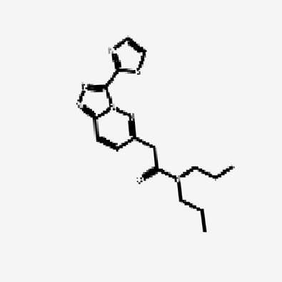 CCCN(CCC)C(=O)Cc1ccc2nnc(-c3nccs3)n2n1